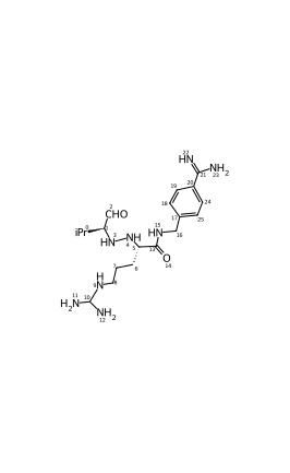 CC(C)[C@@H](C=O)NN[C@@H](CCCNC(N)N)C(=O)NCc1ccc(C(=N)N)cc1